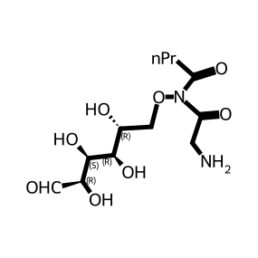 CCCC(=O)N(OC[C@@H](O)[C@@H](O)[C@H](O)[C@@H](O)C=O)C(=O)CN